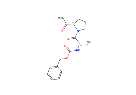 CC[C@H](C)[C@H](NC(=O)OCc1ccccc1)C(=O)N1CCC[C@H]1C(=O)OC